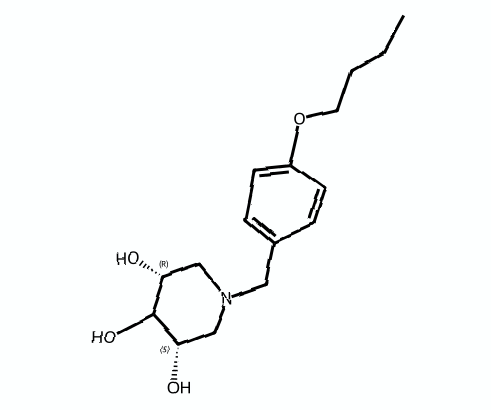 CCCCOc1ccc(CN2C[C@@H](O)C(O)[C@@H](O)C2)cc1